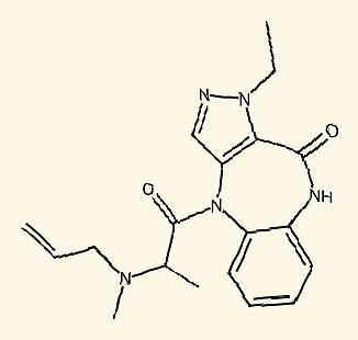 C=CCN(C)C(C)C(=O)N1c2ccccc2NC(=O)c2c1cnn2CC